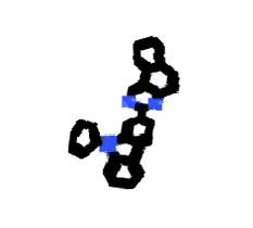 c1ccc(-n2c3ccccc3c3ccc(-c4ncc5c(ccc6ccccc65)n4)cc32)cc1